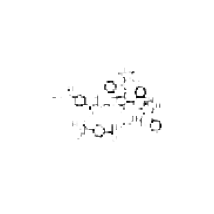 CCC(c1ccccc1)C(C(=O)NCCCNC(=O)c1ccc(N(C)C)cc1)C(CC(c1ccccc1)C1C(=O)N(CCCNC(=O)c2ccc(N(C)C)cc2)C(=O)C1CC(c1ccccc1)C1C(=O)OC(=O)C1C)C(=O)O